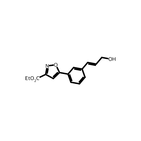 CCOC(=O)c1cc(-c2cccc(C=CCO)c2)on1